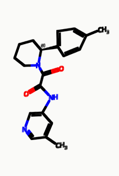 Cc1ccc([C@@H]2CCCCN2C(=O)C(=O)Nc2cncc(C)c2)cc1